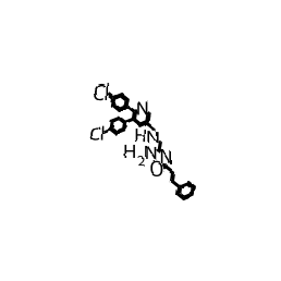 N/C(CNCc1cnc(-c2ccc(Cl)cc2)c(-c2ccc(Cl)cc2)c1)=N\C(=O)CCc1ccccc1